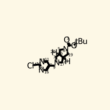 CC(C)(C)OC(=O)N1C[C@H]2CN(Cc3cnc(Cl)nc3)C[C@H]2C1